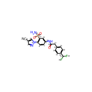 N#Cc1cnn(-c2ccc(NC(=O)Cc3ccc(C(F)F)cc3)cc2S(N)(=O)=O)c1